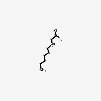 CCCCC[CH2][AlH][CH2]C(Cl)Cl